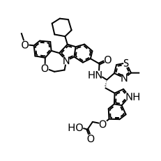 COc1ccc2c(c1)OCCn1c-2c(C2CCCCC2)c2ccc(C(=O)N[C@@H](Cc3c[nH]c4ccc(OCC(=O)O)cc34)c3csc(C)n3)cc21